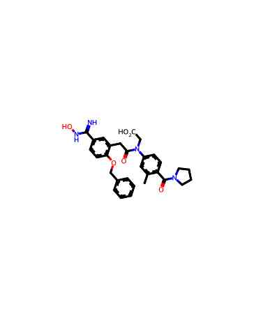 Cc1cc(N(CC(=O)O)C(=O)Cc2cc(C(=N)NO)ccc2OCc2ccccc2)ccc1C(=O)N1CCCC1